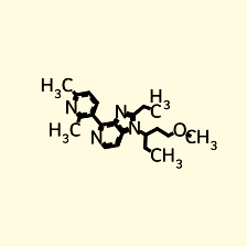 CCc1nc2c(-c3ccc(C)nc3C)nccc2n1C(CC)CCOC